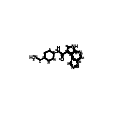 NC[C@H]1CC[C@H](NC(=O)c2c[nH]c3ncc4nncn4c23)CC1